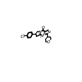 O=c1c2cnc(C3CCOCC3)n2nc2n1CC(c1ccc(Cl)cc1)C2